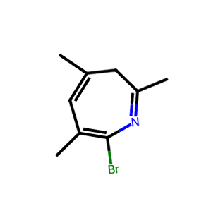 CC1=CC(C)=C(Br)N=C(C)C1